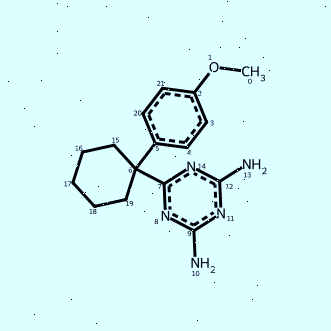 COc1ccc(C2(c3nc(N)nc(N)n3)CCCCC2)cc1